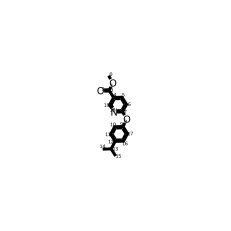 COC(=O)c1ccc(Oc2ccc(C(C)C)cc2)nc1